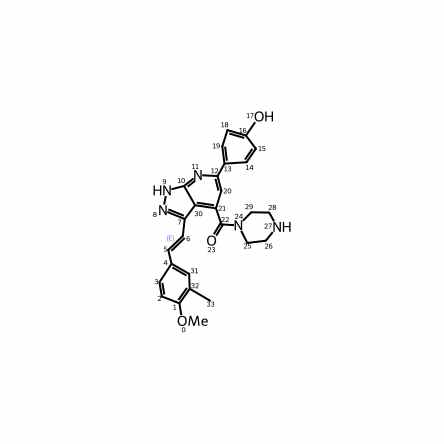 COc1ccc(/C=C/c2n[nH]c3nc(-c4ccc(O)cc4)cc(C(=O)N4CCNCC4)c23)cc1C